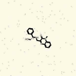 Cn1c(=O)c(CN[C@H](CO)c2ccccc2)nc2ccccc21